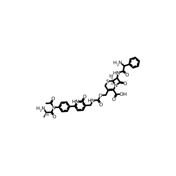 CC(=O)N(C(=O)[C@@H](C)N)c1ccc(-c2ccc(CNC(=O)OCC3=C(C(=O)O)N4C(=O)C(NC(=O)C(N)c5ccccc5)[C@@H]4SC3)c(=O)[nH]2)cc1